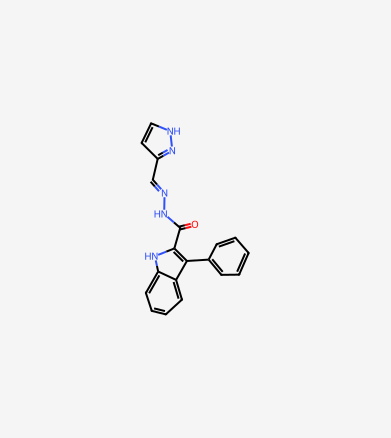 O=C(NN=Cc1cc[nH]n1)c1[nH]c2ccccc2c1-c1ccccc1